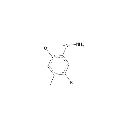 Cc1c[n+]([O-])c(NN)cc1Br